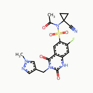 CC(=O)N(C1(C#N)CC1)S(=O)(=O)c1cc2c(=O)n(Cc3cnn(C)c3)c(=O)[nH]c2cc1F